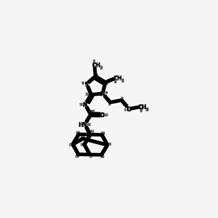 COCCn1c(C)c(C)sc1=NC(=O)NC12CC3CC(CC(C3)C1)C2